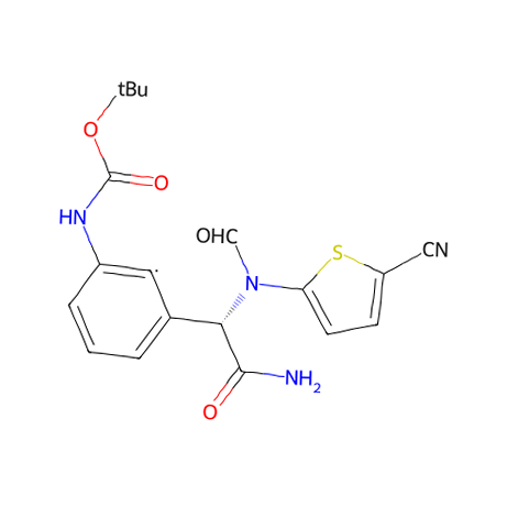 CC(C)(C)OC(=O)Nc1[c]c([C@@H](C(N)=O)N(C=O)c2ccc(C#N)s2)ccc1